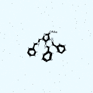 COC1S[C@H](COCc2ccccc2)[C@H](OCc2ccccc2)[C@H]1OCc1ccccc1